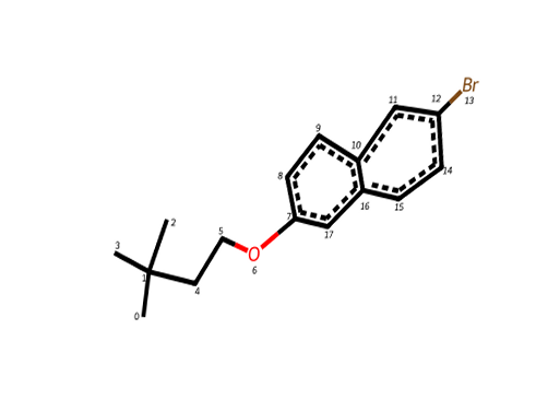 CC(C)(C)CCOc1ccc2cc(Br)ccc2c1